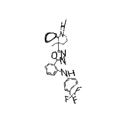 CC1(c2nnc(-c3ccccc3Nc3ccc(C(F)(F)F)cc3)o2)CCCNC1=O